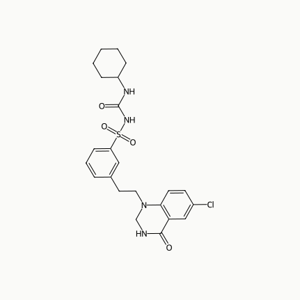 O=C(NC1CCCCC1)NS(=O)(=O)c1cccc(CCN2CNC(=O)c3cc(Cl)ccc32)c1